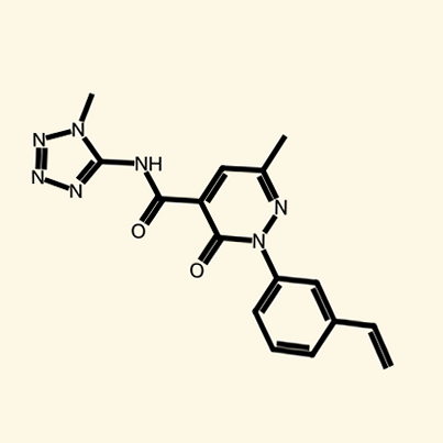 C=Cc1cccc(-n2nc(C)cc(C(=O)Nc3nnnn3C)c2=O)c1